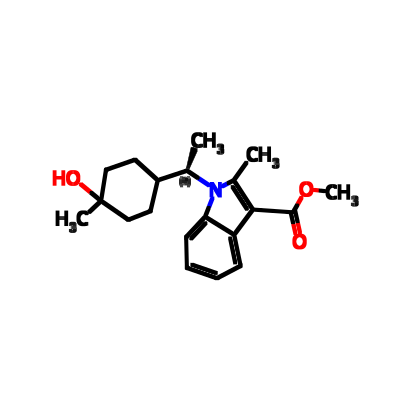 COC(=O)c1c(C)n([C@H](C)C2CCC(C)(O)CC2)c2ccccc12